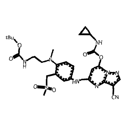 CN(CCNC(=O)OC(C)(C)C)c1ccc(Nc2cc(OC(=O)NC3CC3)n3ncc(C#N)c3n2)cc1CS(C)(=O)=O